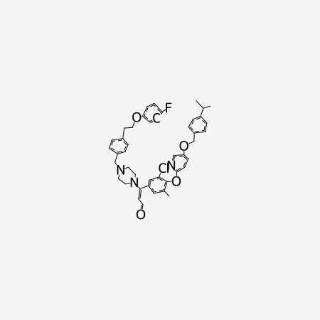 Cc1cc(/C(=C\C=O)N2CCN(Cc3ccc(CCOc4ccc(F)cc4)cc3)CC2)cc(Cl)c1Oc1ccc(OCc2ccc(C(C)C)cc2)cn1